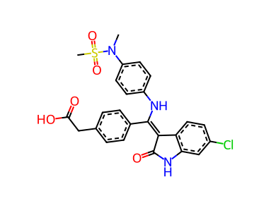 CN(c1ccc(NC(=C2C(=O)Nc3cc(Cl)ccc32)c2ccc(CC(=O)O)cc2)cc1)S(C)(=O)=O